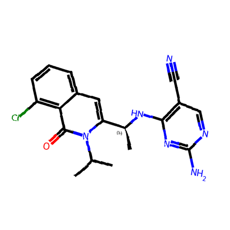 CC(C)n1c([C@H](C)Nc2nc(N)ncc2C#N)cc2cccc(Cl)c2c1=O